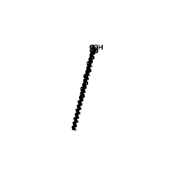 CCCCCCCCCCCCCCCCOCCOCCOCCOCCOCCOCCOCCOS(=O)(=O)O